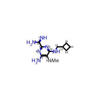 CNc1c(N)nc(C(=N)N)nc1NCC1CCC1